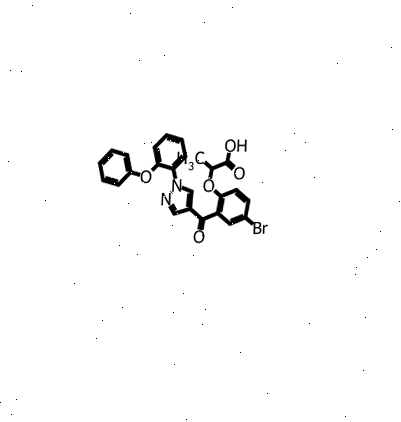 CC(Oc1ccc(Br)cc1C(=O)c1cnn(-c2ccccc2Oc2ccccc2)c1)C(=O)O